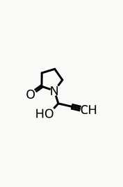 C#CC(O)N1CCCC1=O